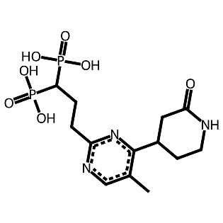 Cc1cnc(CCC(P(=O)(O)O)P(=O)(O)O)nc1C1CCNC(=O)C1